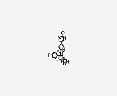 COc1ncc(-c2ccc(C(F)(F)C(O)(Cn3cnnn3)c3ccc(F)cc3F)nc2)cn1